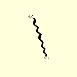 CC=CCCC=CCCCCCO